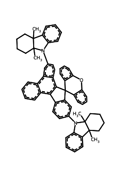 CC12CCCCC1(C)N(c1ccc3c(c1)C1(c4ccccc4Oc4ccccc41)c1c-3c3ccccc3c3cc(N4c5ccccc5C5(C)CCCCC45C)ccc13)c1ccccc12